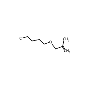 C=C(C)COCCCCCl